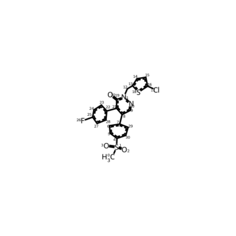 CS(=O)(=O)c1ccc(-c2cnn(Cc3ccc(Cl)s3)c(=O)c2-c2ccc(F)cc2)cc1